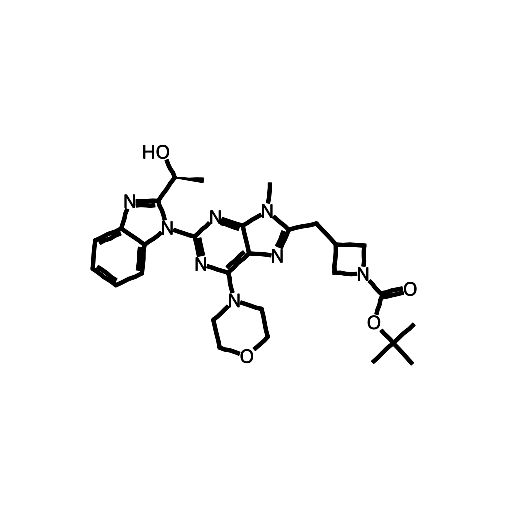 C[C@H](O)c1nc2ccccc2n1-c1nc(N2CCOCC2)c2nc(CC3CN(C(=O)OC(C)(C)C)C3)n(C)c2n1